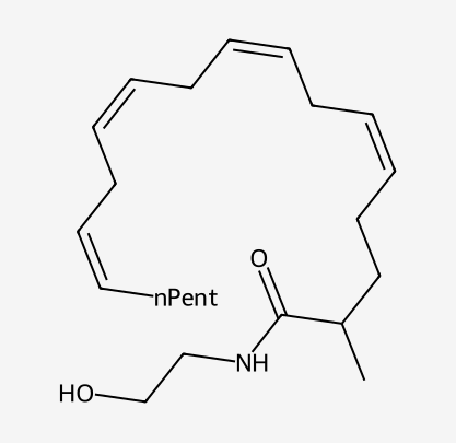 CCCCC/C=C\C/C=C\C/C=C\C/C=C\CCC(C)C(=O)NCCO